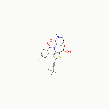 CC1=CCC(C(=O)N(c2cc(C#CC(C)(C)C)sc2C(=O)O)[C@H]2CCCN(C)C2=O)CC1